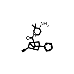 C#CC1C2CC3(c4ccccc4)CC1C(C(=O)N1CC[C@H](N)C(C)(C)C1)(C2)C3